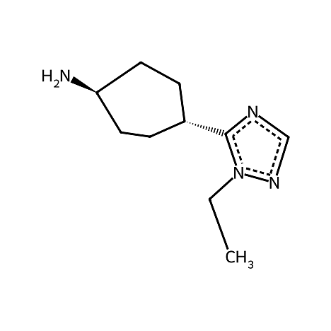 CCn1ncnc1[C@H]1CC[C@H](N)CC1